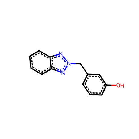 Oc1cccc(Cn2nc3ccccc3n2)c1